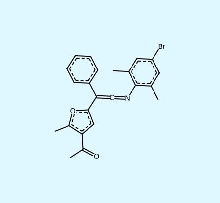 CC(=O)c1cc(C(=C=Nc2c(C)cc(Br)cc2C)c2ccccc2)oc1C